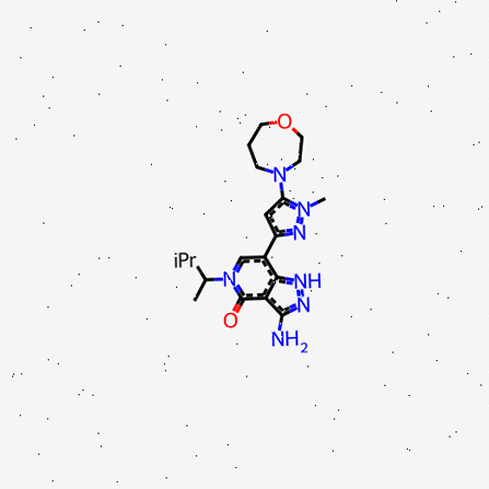 CC(C)C(C)n1cc(-c2cc(N3CCCOCC3)n(C)n2)c2[nH]nc(N)c2c1=O